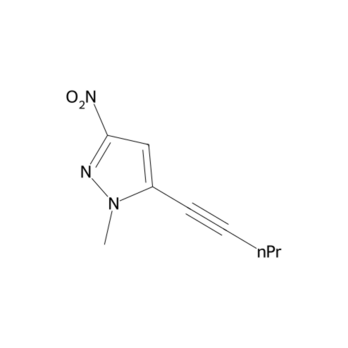 CCCC#Cc1cc([N+](=O)[O-])nn1C